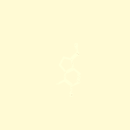 Cc1c(Br)ccc2c1CC/C2=N\Cl